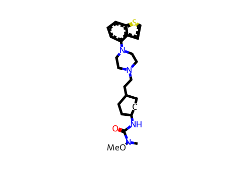 CON(C)C(=O)NC1CCC(CCN2CCN(c3cccc4sccc34)CC2)CC1